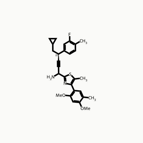 COc1cc(OC)c(-c2nc(C(N)C#C[C@@H](CC3CC3)c3ccc(C)c(F)c3)sc2C)cc1C